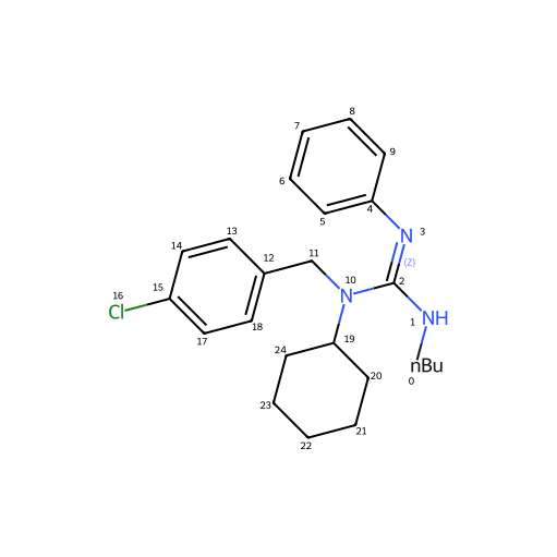 CCCCN/C(=N/c1ccccc1)N(Cc1ccc(Cl)cc1)C1CCCCC1